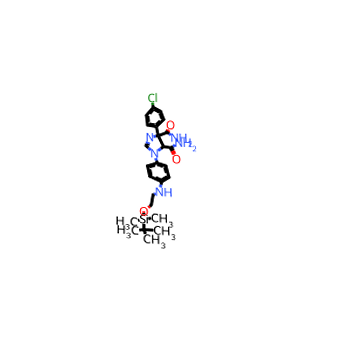 CC(C)(C)[Si](C)(C)OCCNc1ccc(N2C=NC(C(N)=O)(c3ccc(Cl)cc3)C2C(N)=O)cc1